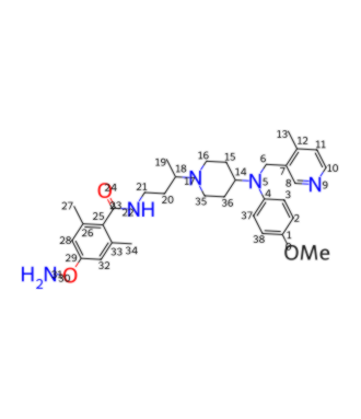 COc1ccc(N(Cc2cnccc2C)C2CCN(C(C)CCNC(=O)c3c(C)cc(ON)cc3C)CC2)cc1